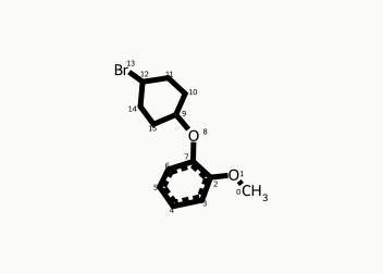 COc1ccccc1OC1CCC(Br)CC1